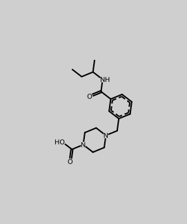 CCC(C)NC(=O)c1cccc(CN2CCN(C(=O)O)CC2)c1